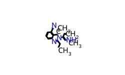 C=C=C1c2c(C#N)cccc2N=C(CCC)N1/C(C=C)=C/NC